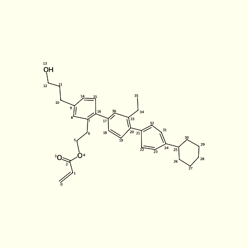 C=CC(=O)OCCc1cc(CCCO)ccc1-c1ccc(-c2ccc(C3CCCCC3)cc2)c(CC)c1